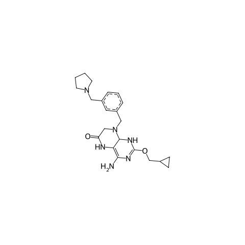 NC1=C2NC(=O)CN(Cc3cccc(CN4CCCC4)c3)C2NC(OCC2CC2)=N1